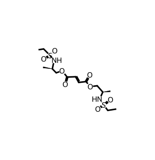 CCS(=O)(=O)N[C@H](C)COC(=O)/C=C/C(=O)OC[C@@H](C)NS(=O)(=O)CC